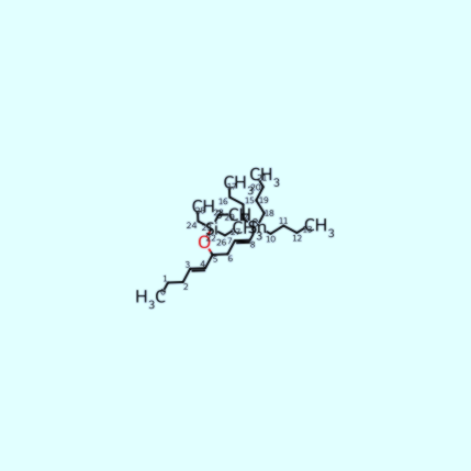 CCC/C=C/C(C/C=[CH]/[Sn]([CH2]CCC)([CH2]CCC)[CH2]CCC)O[Si](CC)(CC)CC